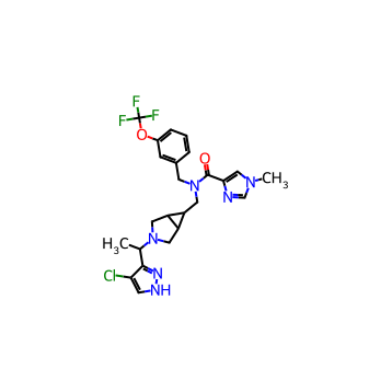 CC(c1n[nH]cc1Cl)N1CC2C(CN(Cc3cccc(OC(F)(F)F)c3)C(=O)c3cn(C)cn3)C2C1